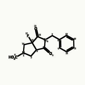 O=C(O)N1CC2C(=O)N(Cc3ccccc3)C(=O)C2(F)C1